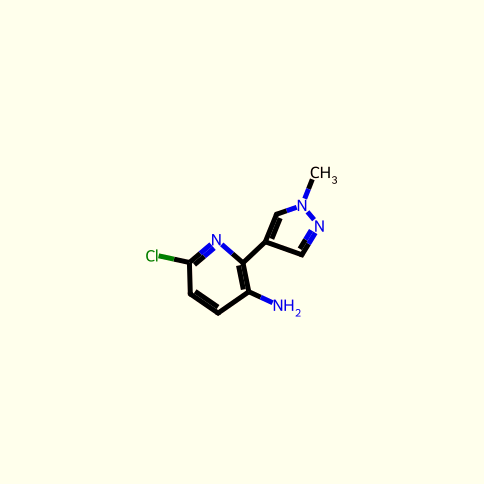 Cn1cc(-c2nc(Cl)ccc2N)cn1